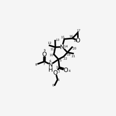 CCOC(=O)C1(NC(C)=O)CC(C)(C)N(CC2CO2)C(C)(C)C1